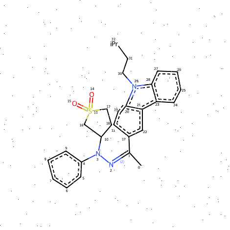 C/C(=N/N(c1ccccc1)C1CCS(=O)(=O)C1)c1ccc2c(c1)c1ccccc1n2CCC(C)C